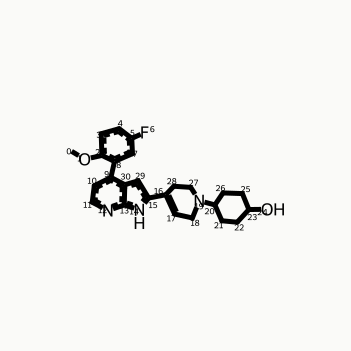 COc1ccc(F)cc1-c1ccnc2[nH]c(C3=CCN(C4CCC(O)CC4)CC3)cc12